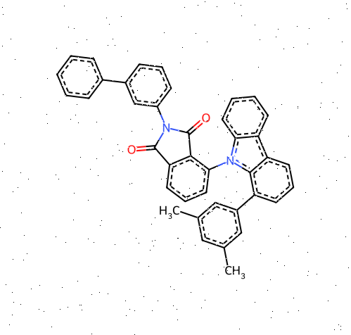 Cc1cc(C)cc(-c2cccc3c4ccccc4n(-c4cccc5c4C(=O)N(c4cccc(-c6ccccc6)c4)C5=O)c23)c1